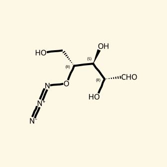 [N-]=[N+]=NO[C@H](CO)[C@@H](O)[C@@H](O)C=O